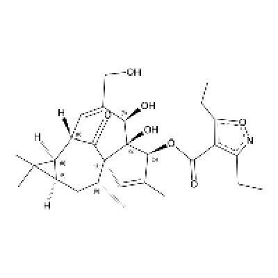 CCc1noc(CC)c1C(=O)O[C@H]1C(C)=C[C@]23C(=O)[C@@H](C=C(CO)[C@@H](O)[C@]12O)[C@H]1[C@@H](C[C@H]3C)C1(C)C